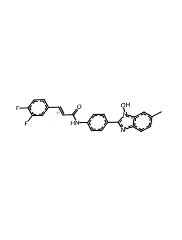 Cc1ccc2nc(-c3ccc(NC(=O)/C=C/c4ccc(F)c(F)c4)cc3)n(O)c2c1